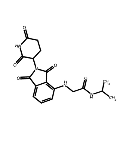 CC(C)NC(=O)CNc1cccc2c1C(=O)N(C1CCC(=O)NC1=O)C2=O